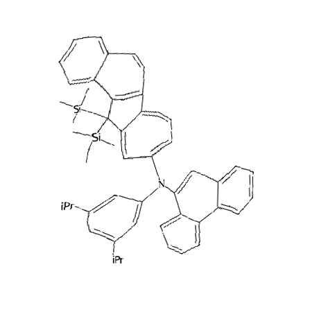 CC(C)c1cc(C(C)C)cc(N(c2ccc3c(c2)C([Si](C)(C)C)([Si](C)(C)C)c2c-3ccc3ccccc23)c2cc3ccccc3c3ccccc23)c1